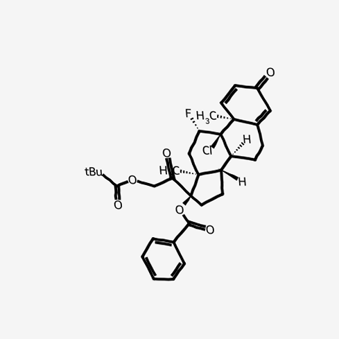 CC(C)(C)C(=O)OCC(=O)[C@@]1(OC(=O)c2ccccc2)CC[C@H]2[C@@H]3CCC4=CC(=O)C=C[C@]4(C)[C@@]3(Cl)[C@@H](F)C[C@@]21C